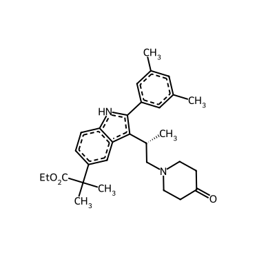 CCOC(=O)C(C)(C)c1ccc2[nH]c(-c3cc(C)cc(C)c3)c([C@H](C)CN3CCC(=O)CC3)c2c1